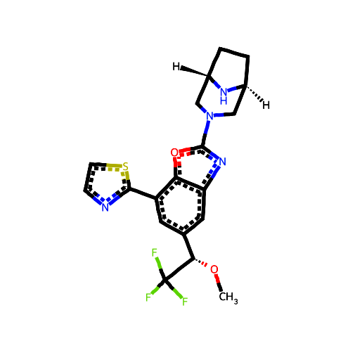 CO[C@@H](c1cc(-c2nccs2)c2oc(N3C[C@@H]4CC[C@@H](C3)N4)nc2c1)C(F)(F)F